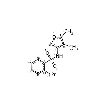 Cc1onc(NS(=O)(=O)c2ccccc2C(C)C)c1C